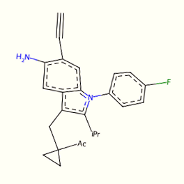 C#Cc1cc2c(cc1N)c(CC1(C(C)=O)CC1)c(C(C)C)n2-c1ccc(F)cc1